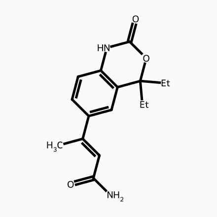 CCC1(CC)OC(=O)Nc2ccc(C(C)=CC(N)=O)cc21